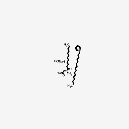 CCCCCCCCCCCC(=O)N(C)CC(=O)O.CCCCCCCCCCCCCCCC[n+]1ccccc1.Cl.[NaH]